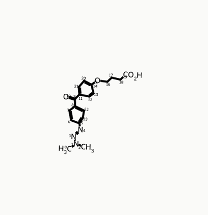 CN(C)N=Nc1ccc(C(=O)c2ccc(OCCCC(=O)O)cc2)cc1